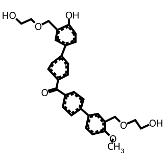 COc1ccc(-c2ccc(C(=O)c3ccc(-c4ccc(O)c(COCCO)c4)cc3)cc2)cc1COCCO